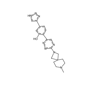 CN1CCC2(CC1)CN(c1ncc(-c3ccc(-c4c[nH]nn4)cc3O)nn1)C2